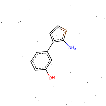 Nc1sccc1-c1cccc(O)c1